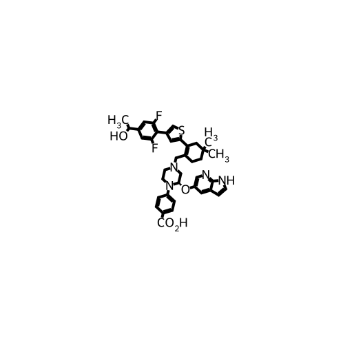 CC(O)c1cc(F)c(-c2csc(C3=C(CN4CCN(c5ccc(C(=O)O)cc5)[C@H](Oc5cnc6[nH]ccc6c5)C4)CCC(C)(C)C3)c2)c(F)c1